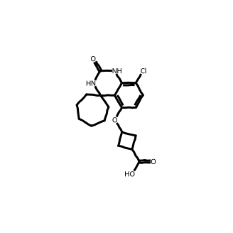 O=C1Nc2c(Cl)ccc(OC3CC(C(=O)O)C3)c2C2(CCCCCC2)N1